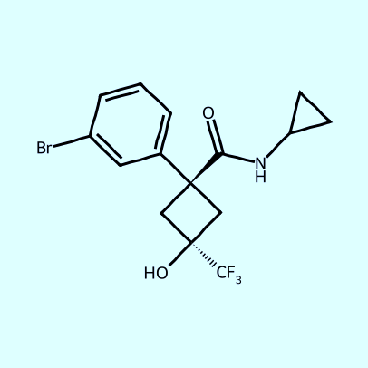 O=C(NC1CC1)[C@]1(c2cccc(Br)c2)C[C@@](O)(C(F)(F)F)C1